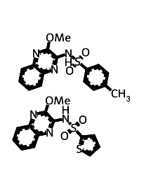 COc1nc2ccccc2nc1NS(=O)(=O)c1ccc(C)cc1.COc1nc2ccccc2nc1NS(=O)(=O)c1cccs1